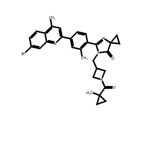 Cc1cc(-c2cc(C)c3ccc(Br)cc3n2)ccc1C1=NC2(CC2)C(=O)N1CC1CN(C(=O)C2(C)CC2)C1